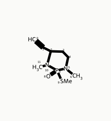 C#CC1CCN(C)P(=O)(SC)N1C